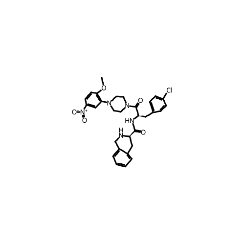 COc1ccc([N+](=O)[O-])cc1N1CCN(C(=O)[C@@H](Cc2ccc(Cl)cc2)NC(=O)[C@H]2Cc3ccccc3CN2)CC1